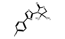 CC1(C)COC(=O)N1c1nc(-c2ccc(F)cc2)cs1